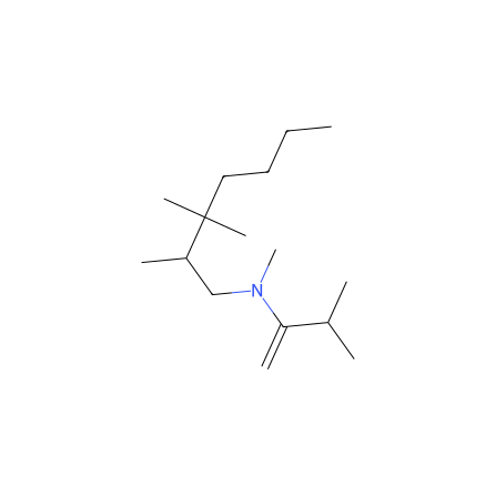 C=C(C(C)C)N(C)CC(C)C(C)(C)CCCC